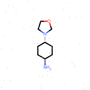 N[C@H]1CC[C@H](N2CCOC2)CC1